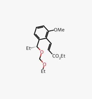 CCOCO[C@H](CC)c1cccc(OC)c1/C=C/C(=O)OCC